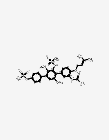 COc1cc(-c2ccc(OS(C)(=O)=O)cc2)c(OC)c(OS(C)(=O)=O)c1-c1ccc(OCC=C(C)C)c(NC(=O)C(Cl)(Cl)Cl)c1